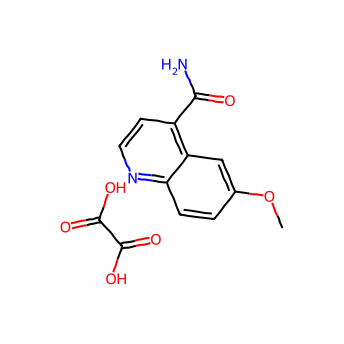 COc1ccc2nccc(C(N)=O)c2c1.O=C(O)C(=O)O